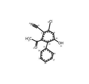 CC(=O)c1c(C#N)c(Cl)cc(O)c1-c1ccccc1